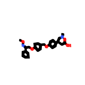 C=NCC(CC(=O)O)c1ccc(OCc2ccc(OC/C(=N\OC)c3ccccc3)cc2)cc1